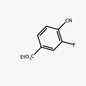 CCOC(=O)c1ccc(C#N)c(F)c1